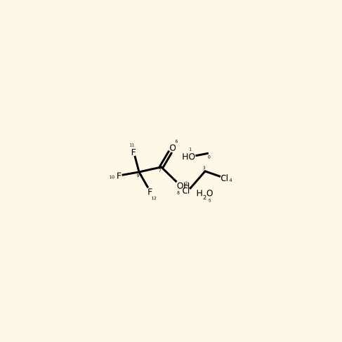 CO.ClCCl.O.O=C(O)C(F)(F)F